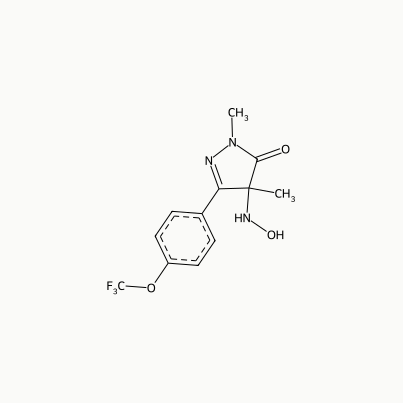 CN1N=C(c2ccc(OC(F)(F)F)cc2)C(C)(NO)C1=O